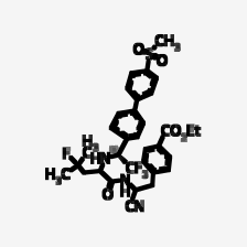 CCOC(=O)c1ccc(CC(C#N)NC(=O)C(CC(C)(C)F)N[C@@H](c2ccc(-c3ccc(S(C)(=O)=O)cc3)cc2)C(F)(F)F)cc1